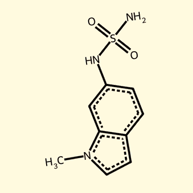 Cn1ccc2ccc(NS(N)(=O)=O)cc21